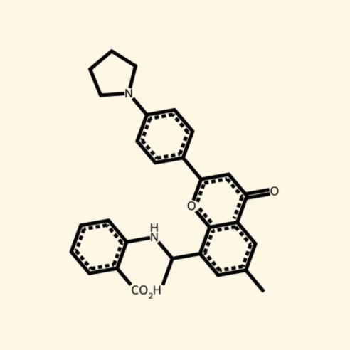 Cc1cc(C(C)Nc2ccccc2C(=O)O)c2oc(-c3ccc(N4CCCC4)cc3)cc(=O)c2c1